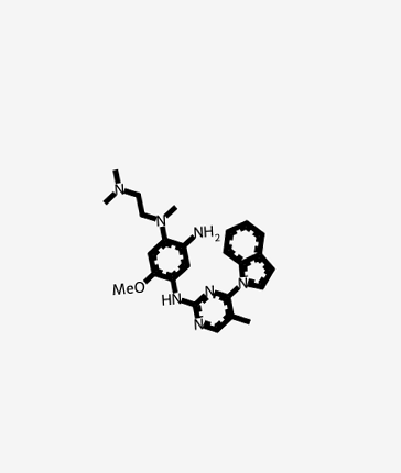 COc1cc(N(C)CCN(C)C)c(N)cc1Nc1ncc(C)c(-n2ccc3ccccc32)n1